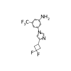 Nc1cc(-n2cnc(C3CC(F)(F)C3)c2)cc(C(F)(F)F)c1